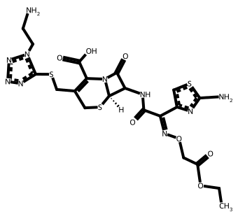 CCOC(=O)CO/N=C(/C(=O)NC1C(=O)N2C(C(=O)O)=C(CSc3nnnn3CCN)CS[C@H]12)c1csc(N)n1